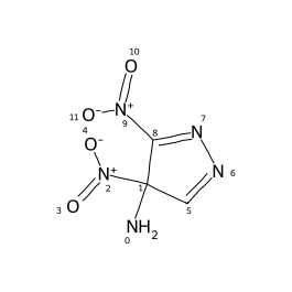 NC1([N+](=O)[O-])C=NN=C1[N+](=O)[O-]